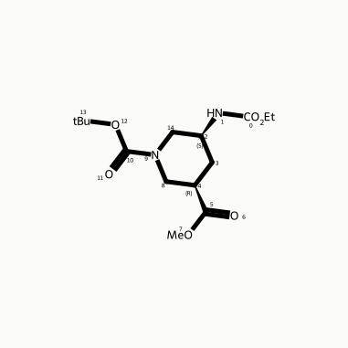 CCOC(=O)N[C@H]1C[C@@H](C(=O)OC)CN(C(=O)OC(C)(C)C)C1